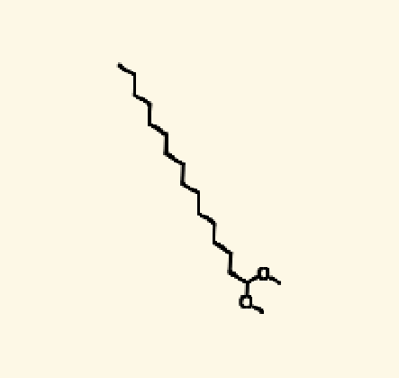 CCCCCCCCCCCCCCCC(OC)OC